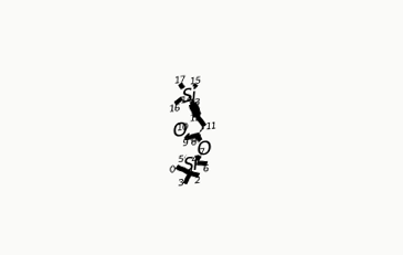 CC(C)(C)[Si](C)(C)O[C@H](C=O)CC#C[Si](C)(C)C